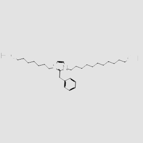 CCCCCCCCCCCCn1cc[n+](CCCCCCCC)c1Cc1ccccc1